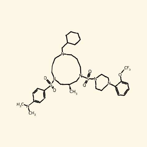 C[C@H]1CN(S(=O)(=O)c2ccc(N(C)C)cc2)CCCN(CC2CCCCC2)CCCN(S(=O)(=O)N2CCN(c3ccccc3OC(F)(F)F)CC2)C1